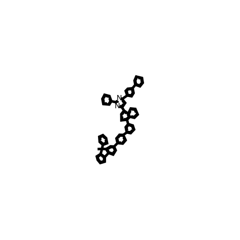 CC1(c2ccccc2)c2ccccc2-c2ccc(-c3ccc(-c4cccc(-c5ccc(-c6cc(-c7ccc(-c8ccccc8)cc7)nc(-c7ccccc7)n6)c6ccccc56)c4)cc3)cc21